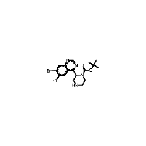 CC(C)(C)OC(=O)N1CCNCC1c1ncnc2cc(Br)c(Cl)cc12